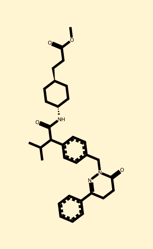 COC(=O)CC[C@H]1CC[C@H](NC(=O)C(c2ccc(CN3N=C(c4ccccc4)CCC3=O)cc2)C(C)C)CC1